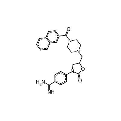 N=C(N)c1ccc(N2CC(CN3CCN(C(=O)c4ccc5ccccc5c4)CC3)OC2=O)cc1